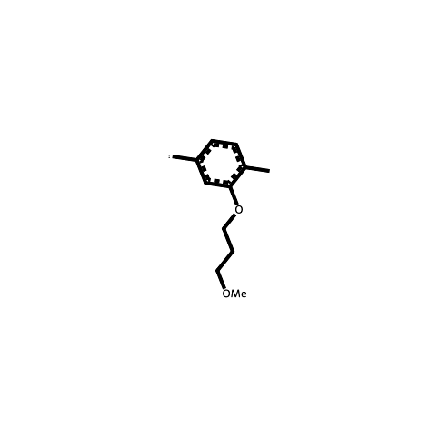 [CH]c1ccc(C)c(OCCCOC)c1